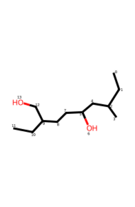 CCC(C)CC(O)CCC(CC)CO